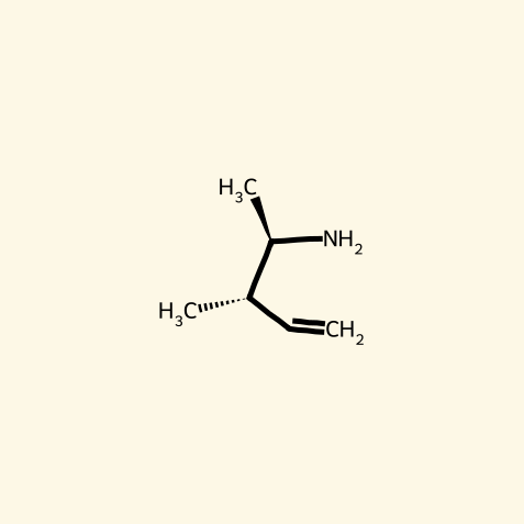 C=C[C@H](C)[C@@H](C)N